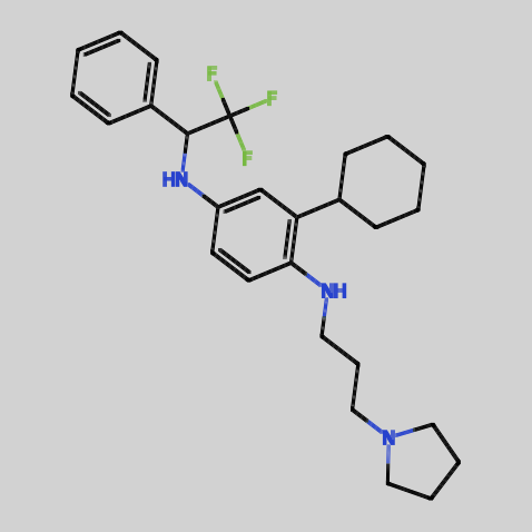 FC(F)(F)C(Nc1ccc(NCCCN2CCCC2)c(C2CCCCC2)c1)c1ccccc1